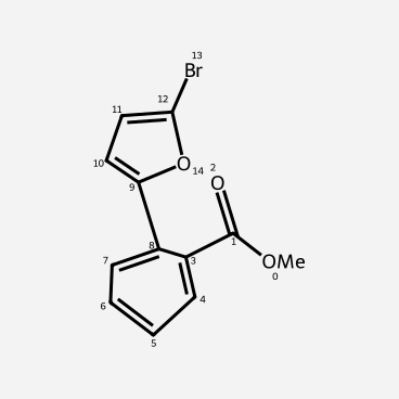 COC(=O)c1ccccc1-c1ccc(Br)o1